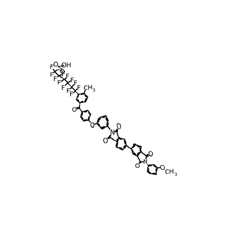 COc1cccc(N2C(=O)c3ccc(-c4ccc5c(c4)C(=O)N(c4cccc(Oc6ccc(C(=O)c7ccc(C)c(C(F)(F)C(F)(F)C(F)(F)C(F)(F)C(F)(F)C(F)(F)S(=O)(=O)O)c7)cc6)c4)C5=O)cc3C2=O)c1